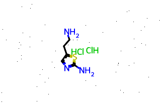 Cl.Cl.NCCc1cnc(N)s1